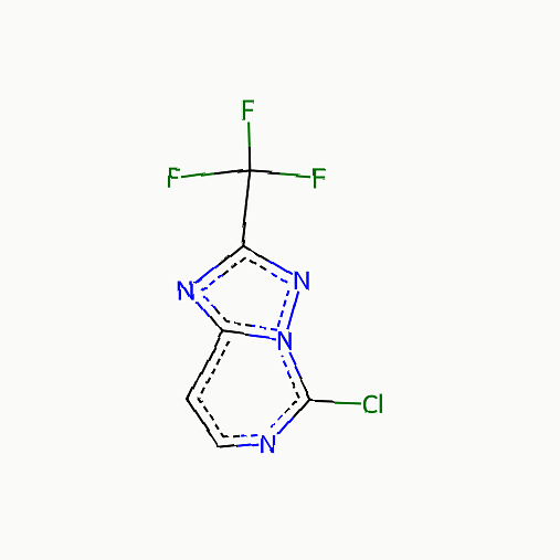 FC(F)(F)c1nc2ccnc(Cl)n2n1